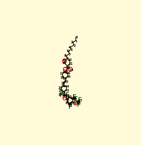 CCCCCCCCCC1CCC(C(=O)OC2CCC(/C=C/C3CCC(C(F)(F)Oc4cc(F)c(OC(F)(F)F)c(F)c4)CC3)CC2)CO1